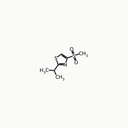 CC(C)c1nc(S(C)(=O)=O)cs1